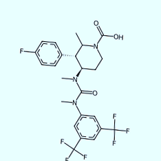 CC1[C@@H](c2ccc(F)cc2)[C@H](N(C)C(=O)N(C)c2cc(C(F)(F)F)cc(C(F)(F)F)c2)CCN1C(=O)O